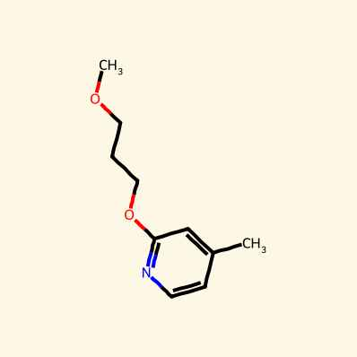 COCCCOc1cc(C)ccn1